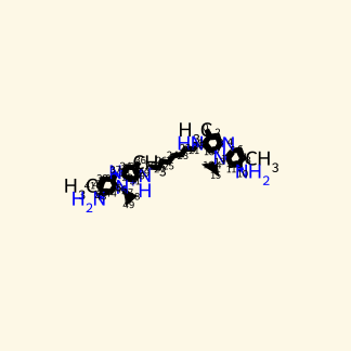 CC1=CC2=Nc3cc(C)c(N)cc3N(C3CC3)C2C=C1NCCCCCCCCNc1cc2c(cc1C)nc1cc(C)c(N)cc1[n+]2C1CC1